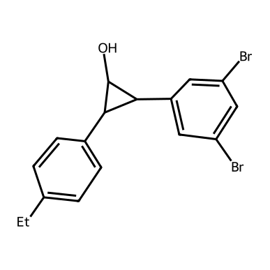 CCc1ccc(C2C(O)C2c2cc(Br)cc(Br)c2)cc1